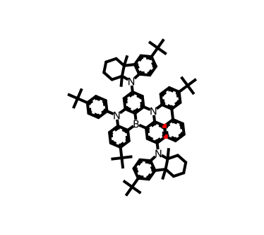 CC(C)(C)c1ccc(N2c3ccc(C(C)(C)C)cc3B3c4cc(N5c6ccc(C(C)(C)C)cc6C6(C)CCCCC56C)ccc4N(c4ccc(C(C)(C)C)cc4-c4ccccc4)c4cc(N5c6ccc(C(C)(C)C)cc6C6(C)CCCCC56C)cc2c43)cc1